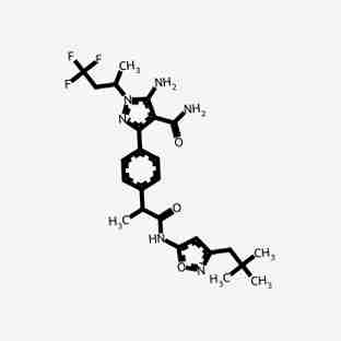 CC(C(=O)Nc1cc(CC(C)(C)C)no1)c1ccc(-c2nn(C(C)CC(F)(F)F)c(N)c2C(N)=O)cc1